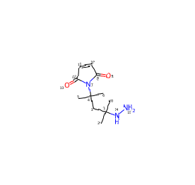 CC(C)(CC(C)(C)N1C(=O)C=CC1=O)NN